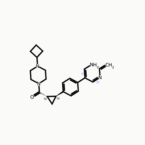 C=C/N=C\C(=C/N)c1ccc([C@H]2C[C@@H]2C(=O)N2CCN(C3CCC3)CC2)cc1